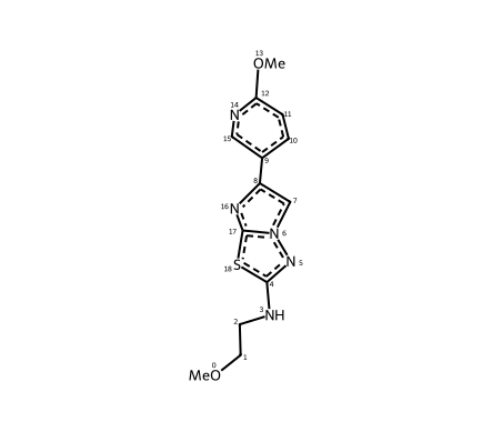 COCCNc1nn2cc(-c3ccc(OC)nc3)nc2s1